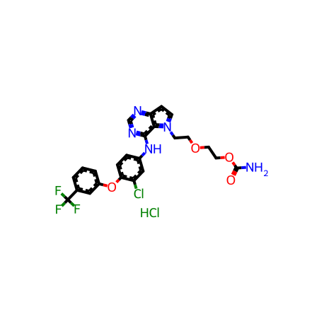 Cl.NC(=O)OCCOCCn1ccc2ncnc(Nc3ccc(Oc4cccc(C(F)(F)F)c4)c(Cl)c3)c21